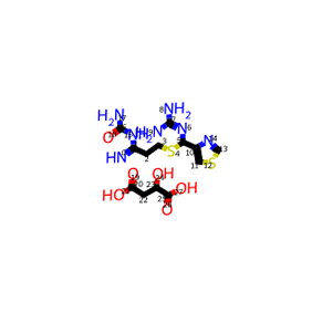 N=C(CCSC(N=C(N)N)c1cscn1)NC(N)=O.O=C(O)CC(O)C(=O)O